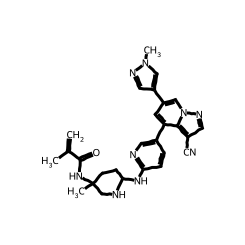 C=C(C)C(=O)NC1(C)CCC(Nc2ccc(-c3cc(-c4cnn(C)c4)cn4ncc(C#N)c34)cn2)NC1